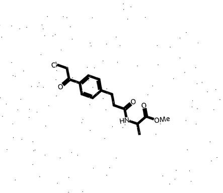 COC(=O)C(C)NC(=O)CCc1ccc(C(=O)CCl)cc1